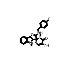 CN1c2ccccc2CC1C1(C(=O)NCc2ccc(F)cc2)NC=C(O)C(=O)N1C